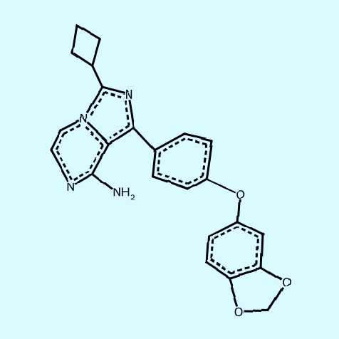 Nc1nccn2c(C3CCC3)nc(-c3ccc(Oc4ccc5c(c4)OCO5)cc3)c12